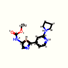 CC(C)(C)OC(=O)Nc1cnc(-c2ccnc(N3CCCC3)c2)s1